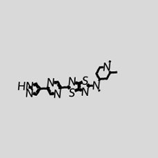 CC1CC(N(C)c2nc3sc(-c4cnc(-c5cn[nH]c5)cn4)nc3s2)CCN1C